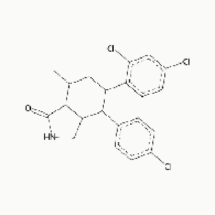 CC1CC(c2ccc(Cl)cc2Cl)C(c2ccc(Cl)cc2)C2CNC(=O)C12